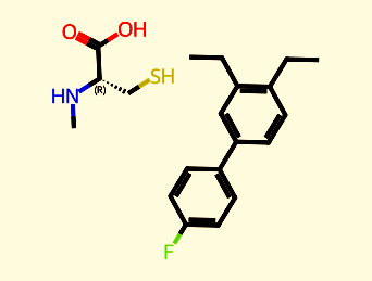 CCc1ccc(-c2ccc(F)cc2)cc1CC.CN[C@@H](CS)C(=O)O